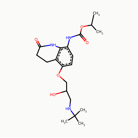 CC(C)OC(=O)Nc1ccc(OCC(O)CNC(C)(C)C)c2c1NC(=O)CC2